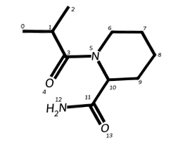 CC(C)C(=O)N1CCCCC1C(N)=O